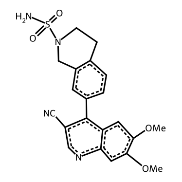 COc1cc2ncc(C#N)c(-c3ccc4c(c3)CN(S(N)(=O)=O)CC4)c2cc1OC